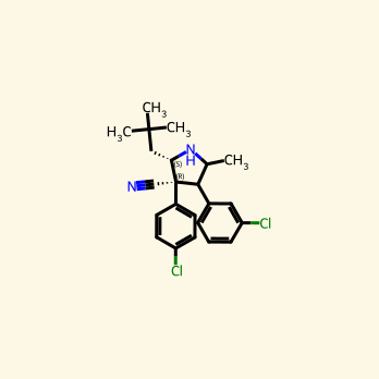 CC1N[C@@H](CC(C)(C)C)[C@](C#N)(c2ccc(Cl)cc2)C1c1cccc(Cl)c1